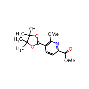 COC(=O)c1ccc(B2OC(C)(C)C(C)(C)O2)c(OC)n1